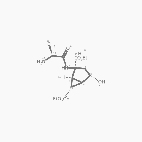 CCOC(=O)[C@H]1C2[C@@H](O)C[C@@](NC(=O)[C@H](C)N)(C(=O)OCC)[C@@H]21.Cl